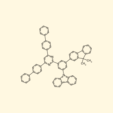 CC1(C)c2ccccc2-c2ccc(-c3cc(-c4nc(-c5ccc(-c6ccccc6)cc5)cc(-c5ccc(-c6ccccc6)cc5)n4)cc(-n4c5ccccc5c5ccccc54)c3)cc21